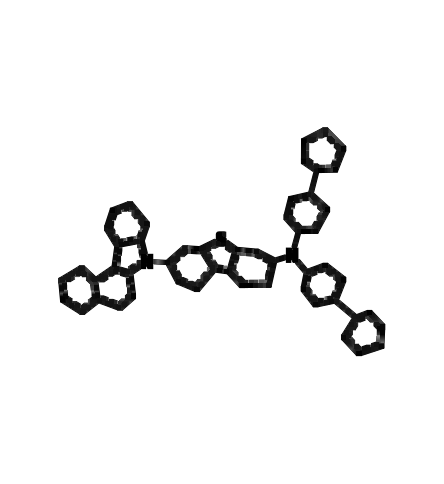 c1ccc(-c2ccc(N(c3ccc(-c4ccccc4)cc3)c3ccc4c(c3)sc3cc(-n5c6ccccc6c6c7ccccc7ccc65)ccc34)cc2)cc1